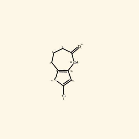 O=C1CCCc2sc(Cl)cc2N1